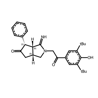 CC(C)(C)c1cc(C(=O)CN2C[C@@H]3CC(=O)[C@H](c4ccccc4)[C@@H]3C2=N)cc(C(C)(C)C)c1O